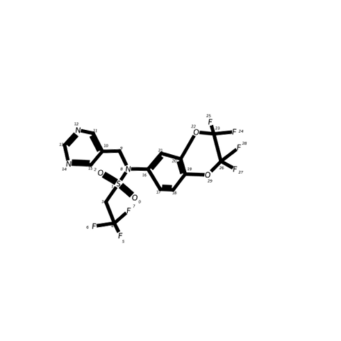 O=S(=O)(CC(F)(F)F)N(Cc1cncnc1)c1ccc2c(c1)OC(F)(F)C(F)(F)O2